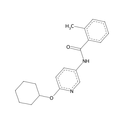 Cc1ccccc1C(=O)Nc1ccc(OC2CCCCC2)nc1